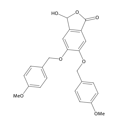 COc1ccc(COc2cc3c(cc2OCc2ccc(OC)cc2)C(O)OC3=O)cc1